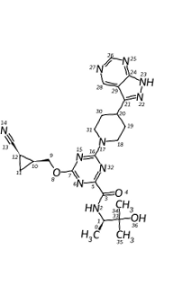 C[C@@H](NC(=O)c1nc(OC[C@H]2C[C@H]2C#N)nc(N2CCC(c3n[nH]c4ncncc34)CC2)n1)C(C)(C)O